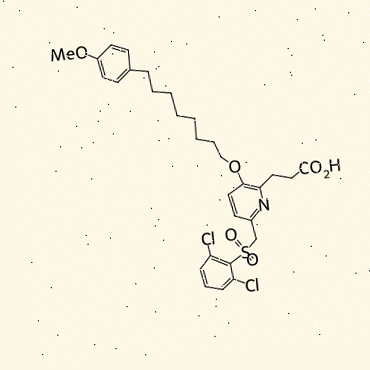 COc1ccc(CCCCCCCCOc2ccc(CS(=O)(=O)c3c(Cl)cccc3Cl)nc2CCC(=O)O)cc1